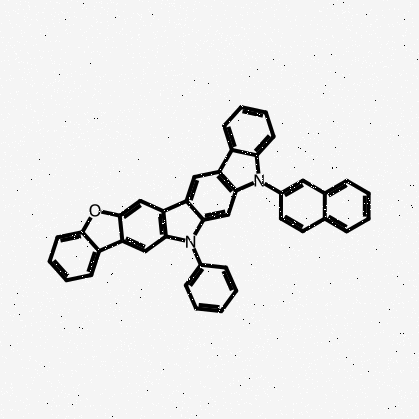 c1ccc(-n2c3cc4c(cc3c3cc5c6ccccc6n(-c6ccc7ccccc7c6)c5cc32)oc2ccccc24)cc1